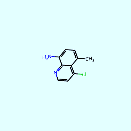 Cc1ccc(N)c2nccc(Cl)c12